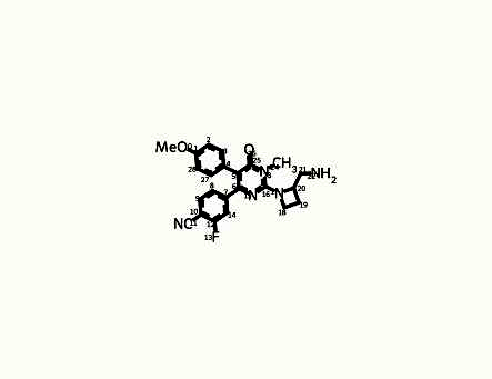 COc1ccc(-c2c(-c3ccc(C#N)c(F)c3)nc(N3CCC3CN)n(C)c2=O)cc1